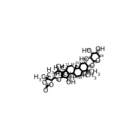 C[C@@H]1C[C@H]([C@@H]2OC(=O)OC2(C)C)OC2=C1[C@@]1(C)CC[C@@]34C[C@@]35CC[C@H](O[C@@H]3OC[C@@H](O)[C@H](O)[C@H]3O)C(C)(C)[C@@H]5CC[C@H]4[C@]1(C)[C@H]2O